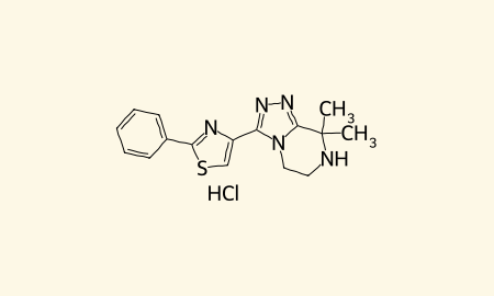 CC1(C)NCCn2c(-c3csc(-c4ccccc4)n3)nnc21.Cl